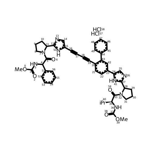 COC(=O)NC(C(=O)N1CCCC1c1ncc(C#CC#Cc2ccc(-c3cnc(C4CCCN4C(=O)[C@@H](NC(=O)OC)C(C)C)[nH]3)cc2-c2ccccc2)[nH]1)c1ccccc1.Cl.Cl